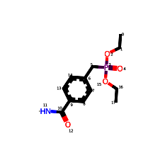 CCOP(=O)(Cc1ccc(C([NH])=O)cc1)OCC